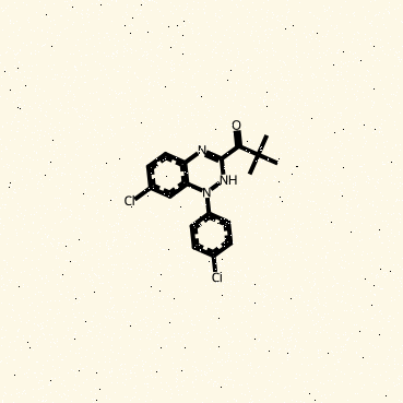 CC(C)(C)C(=O)C1=Nc2ccc(Cl)cc2N(c2ccc(Cl)cc2)N1